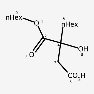 CCCCCCOC(=O)C(O)(CCCCCC)CC(=O)O